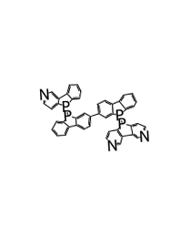 c1ccc2c(c1)c1cnccc1p2-p1c2ccccc2c2ccc(-c3ccc4c5ccccc5p(-p5c6ccncc6c6cnccc65)c4c3)cc21